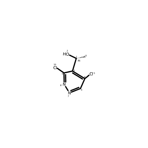 C[C@@H](O)c1c(Cl)cnnc1Cl